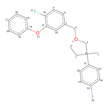 CCC(C)(COCc1ccc(F)c(Oc2ccccc2)c1)c1ccc(I)cc1